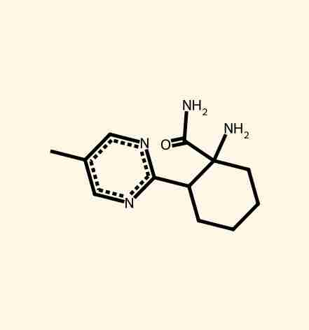 Cc1cnc(C2CCCCC2(N)C(N)=O)nc1